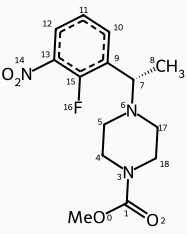 COC(=O)N1CCN([C@@H](C)c2cccc([N+](=O)[O-])c2F)CC1